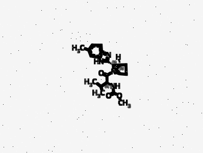 COC(=O)N[C@H](C(=O)N1C2CC[C@@H](C2)[C@H]1c1nc2ccc(C)cc2[nH]1)C(C)C